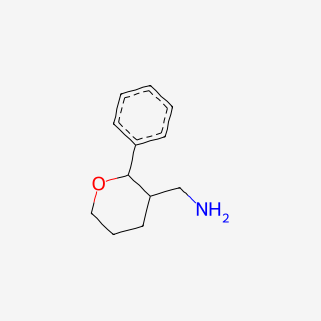 NCC1CCCOC1c1ccccc1